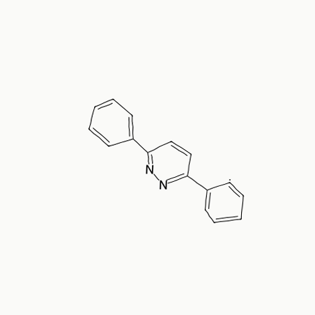 [c]1ccccc1-c1ccc(-c2ccccc2)nn1